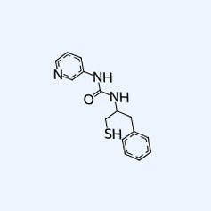 O=C(Nc1cccnc1)NC(CS)Cc1ccccc1